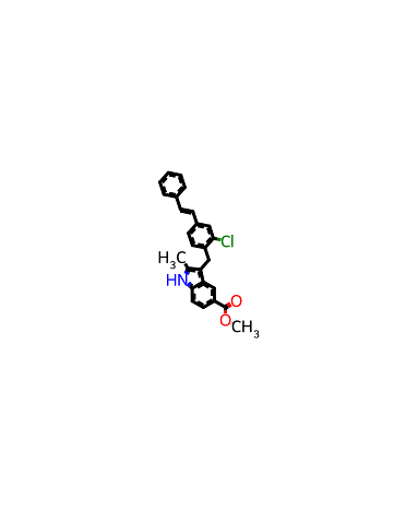 COC(=O)c1ccc2[nH]c(C)c(Cc3ccc(C=Cc4ccccc4)cc3Cl)c2c1